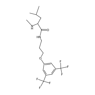 CNC(CC(C)C)C(=O)NCCCOc1cc(C(F)(F)F)cc(C(F)(F)F)c1